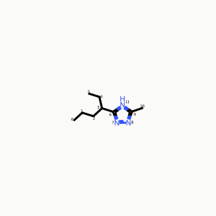 CCCC(CC)c1nnc(C)[nH]1